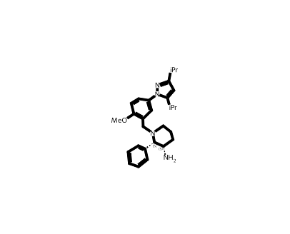 COc1ccc(-n2nc(C(C)C)cc2C(C)C)cc1CN1CCC[C@H](N)[C@@H]1c1ccccc1